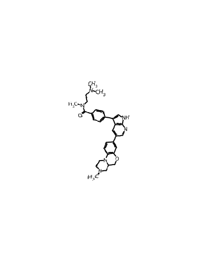 CN(C)CCN(C)C(=O)c1ccc(-c2c[nH]c3ncc(-c4ccc5c(c4)OCC4CN(C)CCN54)cc23)cc1